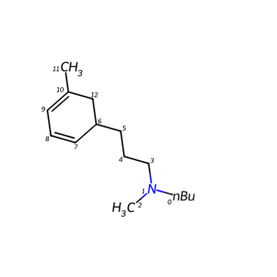 CCCCN(C)CCCC1C=CC=C(C)C1